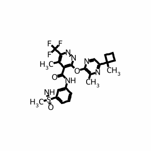 Cc1nc(C2(C)CCC2)cnc1Oc1nnc(C(F)(F)F)c(C)c1C(=O)Nc1cccc(S(C)(=N)=O)c1